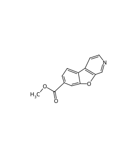 COC(=O)c1ccc2c(c1)oc1cnccc12